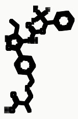 CCc1noc(-c2ccc(CSCC(C)C(=O)O)cc2)c1NC(=O)OC(c1ccccc1)C(F)(F)F